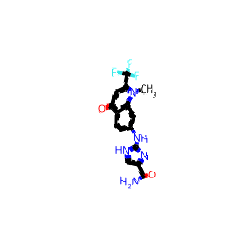 Cn1c(C(F)(F)F)cc(=O)c2ccc(Nc3nc(C(N)=O)c[nH]3)cc21